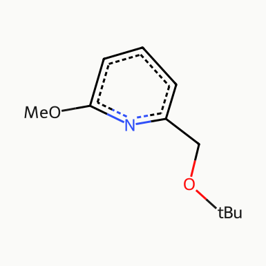 COc1cccc(COC(C)(C)C)n1